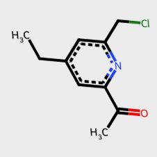 CCc1cc(CCl)nc(C(C)=O)c1